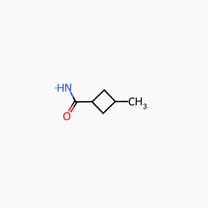 CC1CC(C([NH])=O)C1